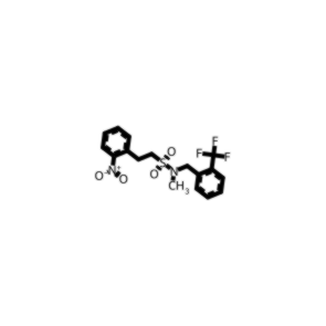 CN(Cc1ccccc1C(F)(F)F)S(=O)(=O)CCc1ccccc1[N+](=O)[O-]